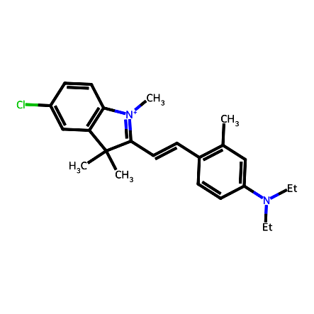 CCN(CC)c1ccc(/C=C/C2=[N+](C)c3ccc(Cl)cc3C2(C)C)c(C)c1